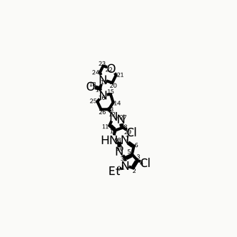 CCn1cc(Cl)c2cnc(Nc3cn(C4CCN(C(=O)N5CCOCC5)CC4)nc3Cl)nc21